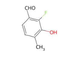 Cc1ccc(C=O)c(F)c1O